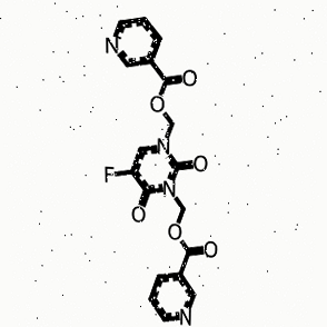 O=C(OCn1cc(F)c(=O)n(COC(=O)c2cccnc2)c1=O)c1cccnc1